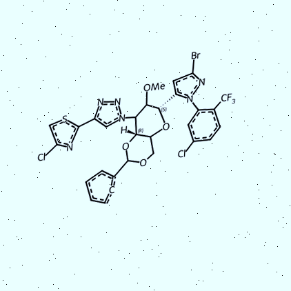 COC1C(n2cc(-c3nc(Cl)cs3)nn2)[C@H]2OC(c3ccccc3)OCC2O[C@H]1c1cc(Br)nn1-c1cc(Cl)ccc1C(F)(F)F